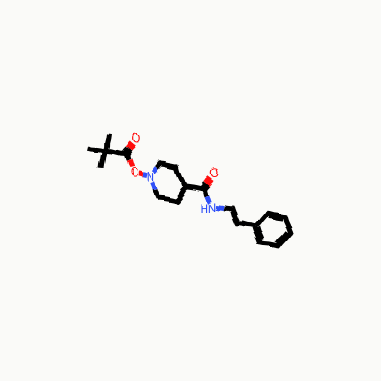 CC(C)(C)C(=O)ON1CCC(C(=O)NCCc2ccccc2)CC1